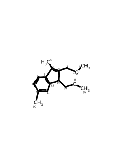 COCC1=C(C)c2ccc(C)cc2C1COC